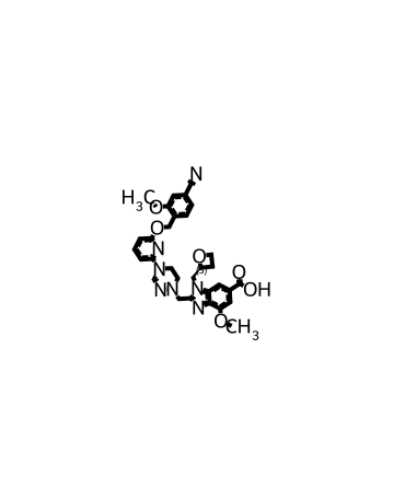 COc1cc(C#N)ccc1COc1cccc(N2C=NN(Cc3nc4c(OC)cc(C(=O)O)cc4n3C[C@@H]3CCO3)CC2)n1